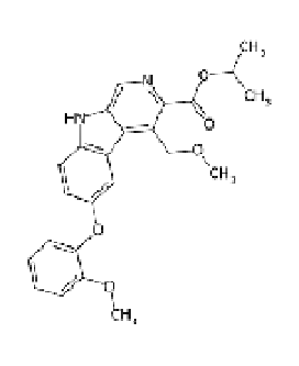 COCc1c(C(=O)OC(C)C)ncc2[nH]c3ccc(Oc4ccccc4OC)cc3c12